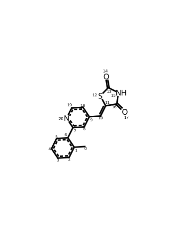 Cc1ccccc1-c1cc(/C=C2\SC(=O)NC2=O)ccn1